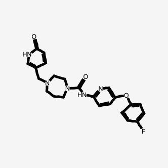 O=C(Nc1ccc(Oc2ccc(F)cc2)cn1)N1CCCN(Cc2ccc(=O)[nH]c2)CC1